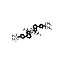 CC1=Cc2c(-c3ccc(C(C)C)cc3)cccc2C1[Si](C)(C)C1C(C)=Cc2c(-c3ccc(C(C)C)cc3)cccc21